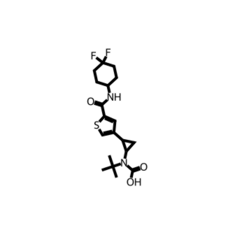 CC(C)(C)N(C(=O)O)C1CC1c1csc(C(=O)NC2CCC(F)(F)CC2)c1